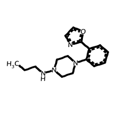 CCCNN1CCN(c2ccccc2-c2ncco2)CC1